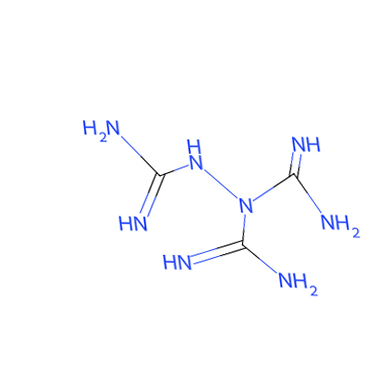 N=C(N)NN(C(=N)N)C(=N)N